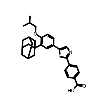 CC(C)COc1ccc(-c2cnc(-c3ccc(C(=O)O)cc3)s2)cc1C12CC3CC(CC(C3)C1)C2